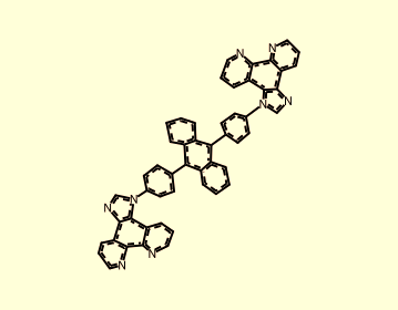 c1ccc2c(-c3ccc(-n4cnc5c6cccnc6c6ncccc6c54)cc3)c3ccccc3c(-c3ccc(-n4cnc5c6cccnc6c6ncccc6c54)cc3)c2c1